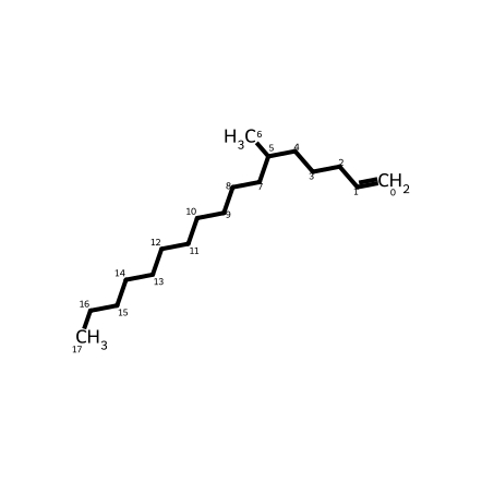 C=CCCCC(C)CCCCCCCCCCC